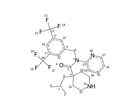 CC(C)CC1(C(=O)N(Cc2cc(C(F)(F)F)cc(C(F)(F)F)c2)c2ccccn2)CCNCC1